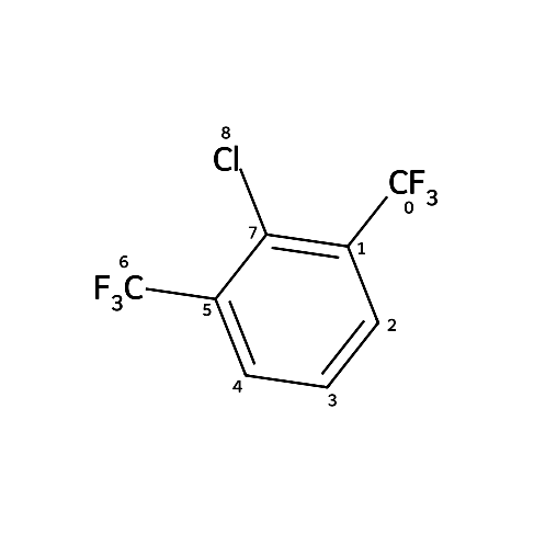 FC(F)(F)c1cccc(C(F)(F)F)c1Cl